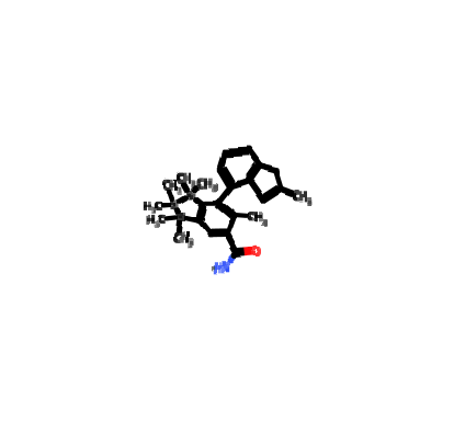 CC1=Cc2c(cccc2-c2c(C)c(C([NH])=O)cc3c2[Si](C)(C)[Si](C)(C)[Si]3(C)C)C1